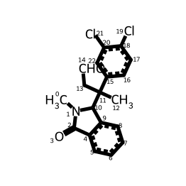 CN1C(=O)c2ccccc2C1C(C)(CC=O)c1ccc(Cl)c(Cl)c1